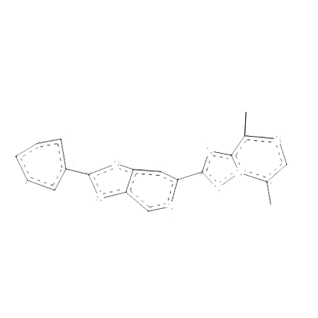 Cc1ncc(C)n2nc(-c3cc4nc(-c5ccccc5)[nH]c4cn3)nc12